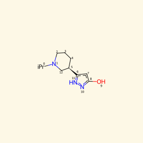 CC(C)N1CCC[C@@H](c2cc(O)n[nH]2)C1